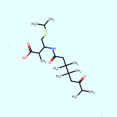 CC(C)SCC(NC(=O)CC(C)(C)C(C)(C)CC(=O)C(C)C)C(C)C(=O)O